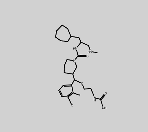 CNCC(CC1CCCCCC1)NC(=O)N1CCCC(C(OCCNC(=O)O)c2cccc(Cl)c2F)C1